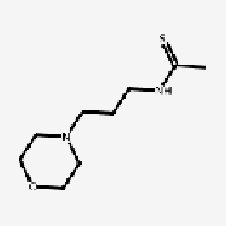 CC(=S)NCCCN1CCOCC1